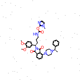 COc1ccc([C@@H](CCCNC(=O)Oc2nccn2C)N2C(=O)c3cccc(N4CCN([C@H](C)c5ccccc5)CC4)c3C2=O)cc1OC